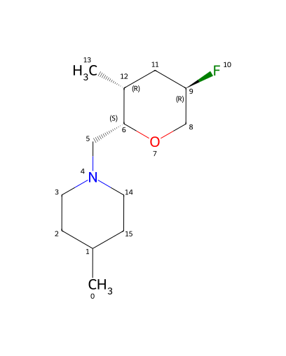 CC1CCN(C[C@H]2OC[C@H](F)C[C@H]2C)CC1